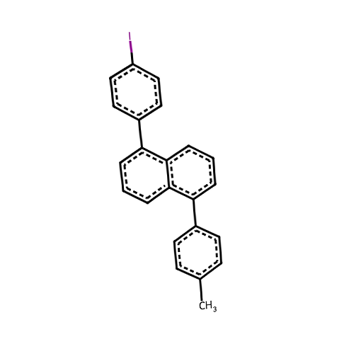 Cc1ccc(-c2cccc3c(-c4ccc(I)cc4)cccc23)cc1